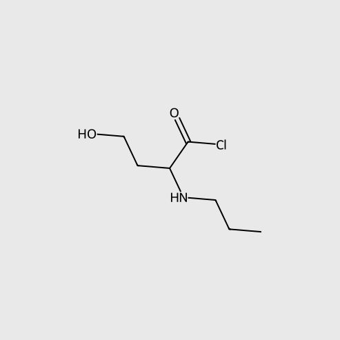 CCCNC(CCO)C(=O)Cl